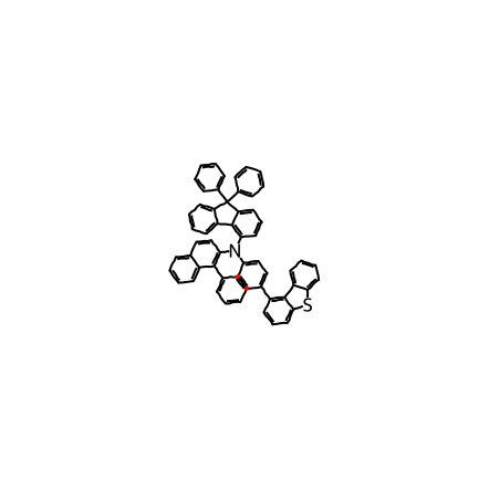 c1ccc(-c2c(N(c3ccc(-c4cccc5sc6ccccc6c45)cc3)c3cccc4c3-c3ccccc3C4(c3ccccc3)c3ccccc3)ccc3ccccc23)cc1